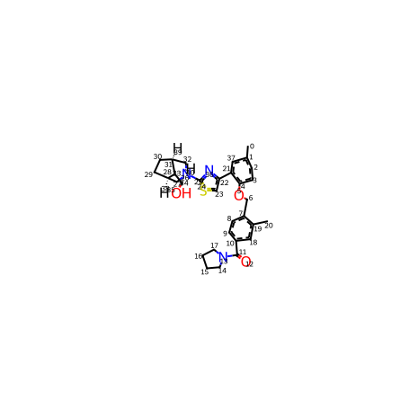 Cc1ccc(OCc2ccc(C(=O)N3CCCC3)cc2C)c(-c2csc(N3C[C@H]4CC[C@@H](C3)[C@H]4CO)n2)c1